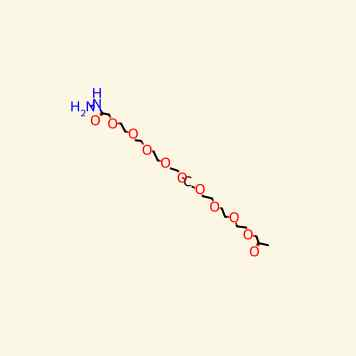 CC(=O)COCCOCCOCCOCCOCCOCCOCCOCCOCC(=O)NN